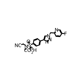 N#CCN(C(=O)O)S(=O)(=O)c1ccc(-c2cn(Cc3ccc(F)cn3)nn2)cc1